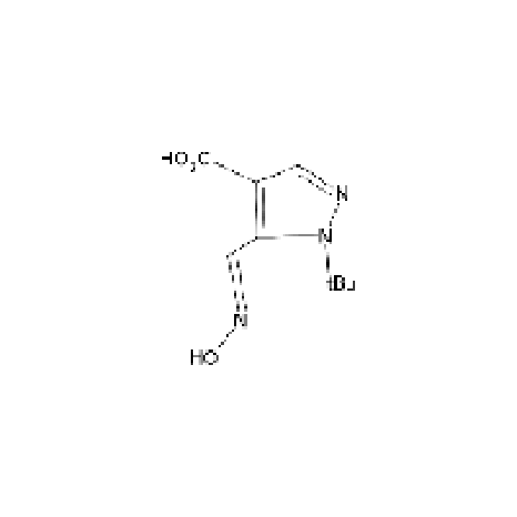 CC(C)(C)n1ncc(C(=O)O)c1C=NO